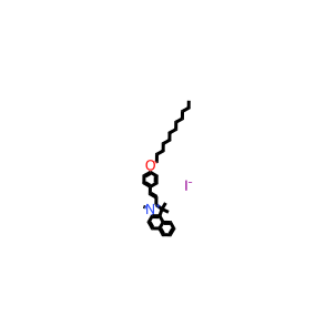 CCCCCCCCCCCCOc1ccc(C=CC2=[N+](C)c3ccc4ccccc4c3C2(C)C)cc1.[I-]